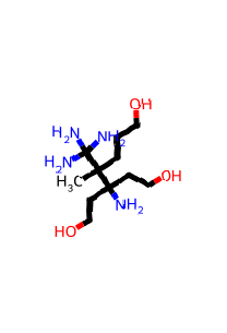 CC(CCCO)(C(N)(N)N)C(N)(CCO)CCO